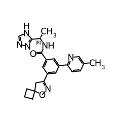 Cc1ccc(-c2cc(C(=O)N[C@H](C)c3nnc[nH]3)cc(C3=NOC4(CCC4)C3)c2)nc1